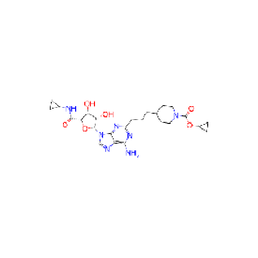 Nc1nc(CCCC2CCN(C(=O)OC3CC3)CC2)nc2c1ncn2[C@@H]1O[C@H](C(=O)NC2CC2)C(O)[C@@H]1O